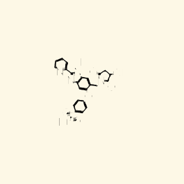 CCS(=O)(=O)c1ccc(Oc2cc3nc(-c4ccccn4)[nH]c3cc2CN2C(=O)CC(O)C2=O)cc1